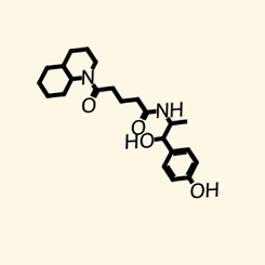 CC(NC(=O)CCCC(=O)N1CCCC2CCCCC21)C(O)c1ccc(O)cc1